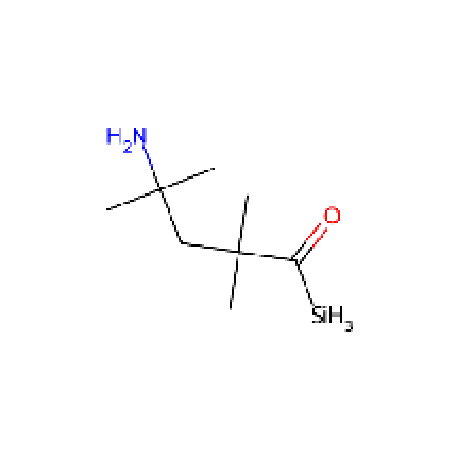 CC(C)(N)CC(C)(C)C(=O)[SiH3]